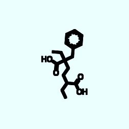 CCC(CCC(CC)(Cc1ccccc1)C(=O)O)C(=O)O